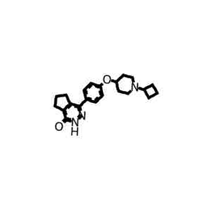 O=c1[nH]nc(-c2ccc(OC3CCN(C4CCC4)CC3)cc2)c2c1CCC2